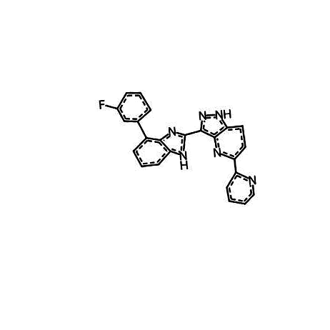 Fc1cccc(-c2cccc3[nH]c(-c4n[nH]c5ccc(-c6ccccn6)nc45)nc23)c1